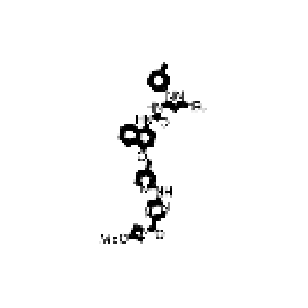 COC1CN(C(=O)c2cnc(Nc3cc(COc4ccc(NC(=O)Nc5cc(C(C)(C)C)nn5-c5cccc(C)c5)c5ccccc45)ccn3)cn2)C1